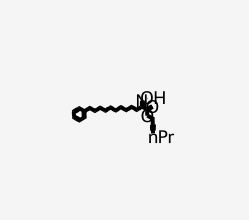 CCCC#CCOC(=O)C(CCCCCCCCCCc1ccccc1)=NO